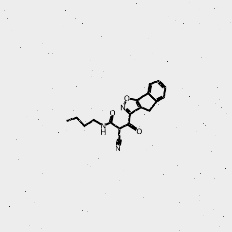 CCCCNC(=O)C(C#N)C(=O)c1noc2c1Cc1ccccc1-2